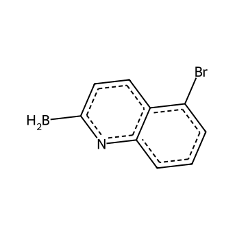 Bc1ccc2c(Br)cccc2n1